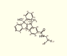 Cn1c(C(O)(c2ccccc2)c2ccccc2)nc2ccc(C(=O)NCC(F)F)cc21